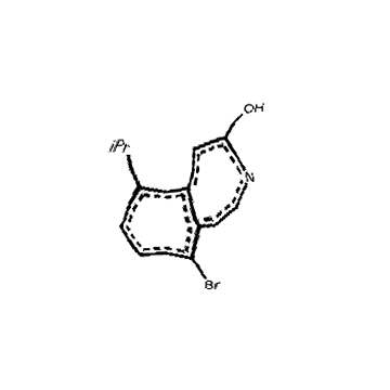 CC(C)c1ccc(Br)c2cnc(O)cc12